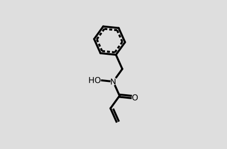 C=CC(=O)N(O)Cc1ccccc1